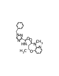 C[C@H]1Oc2cccnc2N(C)C(=O)[C@H]1NC(=O)c1ncn(Cc2ccccc2)n1